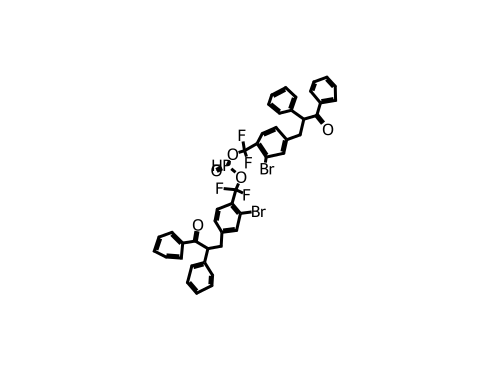 O=C(c1ccccc1)C(Cc1ccc(C(F)(F)O[PH](=O)OC(F)(F)c2ccc(CC(C(=O)c3ccccc3)c3ccccc3)cc2Br)c(Br)c1)c1ccccc1